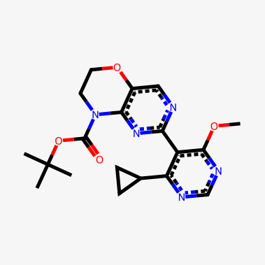 COc1ncnc(C2CC2)c1-c1ncc2c(n1)N(C(=O)OC(C)(C)C)CCO2